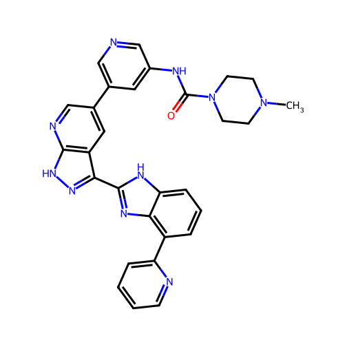 CN1CCN(C(=O)Nc2cncc(-c3cnc4[nH]nc(-c5nc6c(-c7ccccn7)cccc6[nH]5)c4c3)c2)CC1